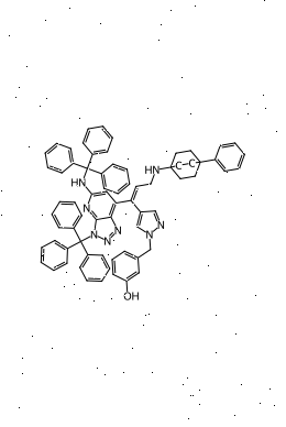 Oc1cccc(Cn2cc(C(=CCNC34CCC(c5ccccc5)(CC3)CC4)c3cc(NC(c4ccccc4)(c4ccccc4)c4ccccc4)nc4c3nnn4C(c3ccccc3)(c3ccccc3)c3ccccc3)cn2)c1